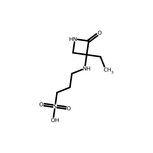 CCC1(NCCCS(=O)(=O)O)CNC1=O